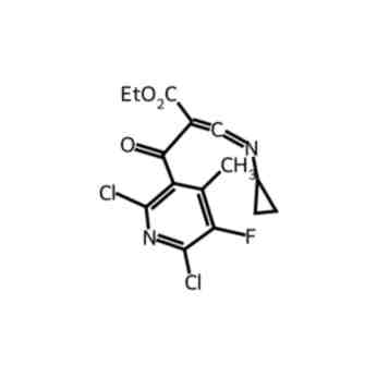 CCOC(=O)C(=C=NC1CC1)C(=O)c1c(Cl)nc(Cl)c(F)c1C